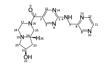 O=C(c1cnc(NCc2cnccn2)nc1)N1CCN2C[C@H](O)C[C@H]2C1